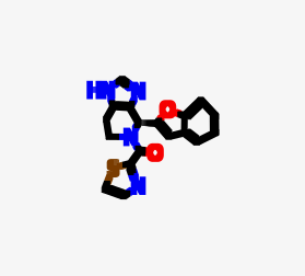 O=C(c1nccs1)N1CCc2[nH]cnc2[C@H]1c1cc2ccccc2o1